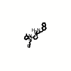 COCCCn1c([C@@H]2CCCN(C(=O)C[C@H](N)Cc3ccc4ccccc4c3)C2)nc2c(C)cccc21